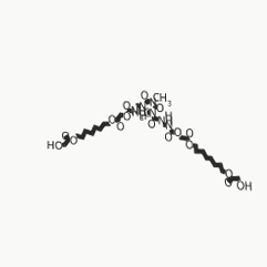 CN(C(=O)NCNC(=O)OCC(=O)OCCCCCCCCOC(=O)CO)C(=O)N(C)C(=O)NCNC(=O)OCC(=O)OCCCCCCCCOC(=O)CO